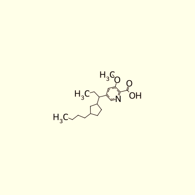 CCCCC1CCC(C(CC)c2cnc(C(=O)O)c(OC)c2)C1